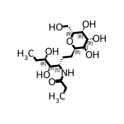 CCC(=O)N[C@@H](CC[C@H]1O[C@H](CO)[C@H](O)[C@H](O)[C@H]1O)[C@H](O)[C@H](O)CC